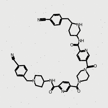 N#Cc1ccc(CC2CCC(NC(=O)c3ccc(C(=O)N4CCN(C(=O)c5ccc(C(=O)NC6CCN(Cc7ccc(C#N)cc7)CC6)nc5)CC4)cn3)CN2)cc1